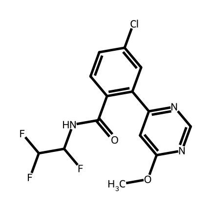 COc1cc(-c2cc(Cl)ccc2C(=O)NC(F)C(F)F)ncn1